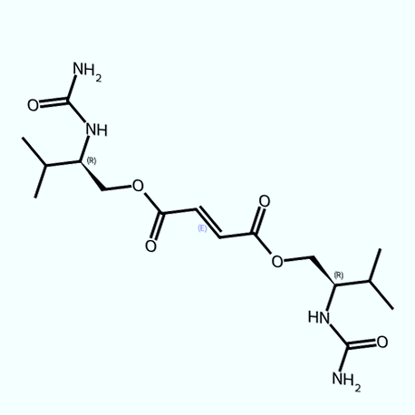 CC(C)[C@H](COC(=O)/C=C/C(=O)OC[C@H](NC(N)=O)C(C)C)NC(N)=O